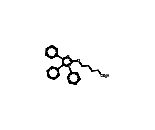 O=C(O)CCCCOc1nc(-c2ccccc2)c(-c2ccccc2)n1-c1ccccc1